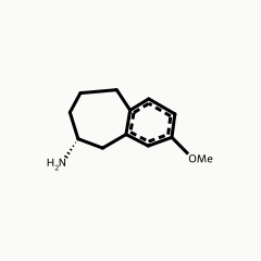 COc1ccc2c(c1)C[C@H](N)CCC2